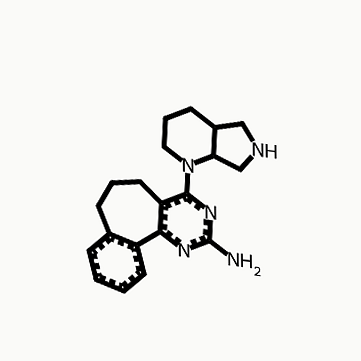 Nc1nc2c(c(N3CCCC4CNCC43)n1)CCCc1ccccc1-2